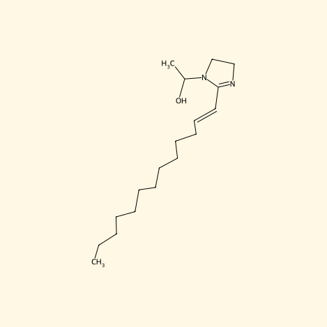 CCCCCCCCCCCC=CC1=NCCN1C(C)O